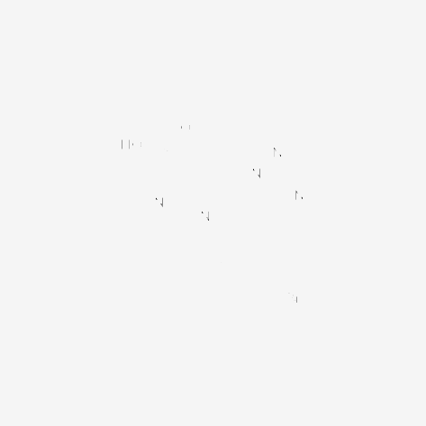 O=C(O)c1ncn2c1Cn1ncnc1-c1cc(Br)ccc1-2